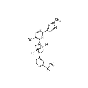 Cn1cc(-c2ncc(C#N)c(N3C[C@@H]4CC[C@H]3CN4c3cccc(C4(C)CC4)c3)n2)cn1